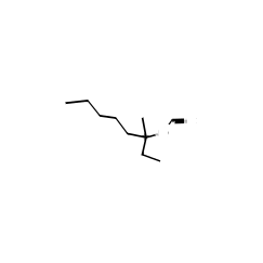 CCCCCC(C)(CC)OC=O